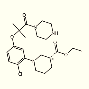 CCOC(=O)[C@@H]1CCCN(c2cc(OC(C)(C)C(=O)N3CCNCC3)ccc2Cl)C1